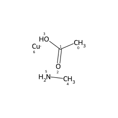 CC(=O)O.CN.[Cu]